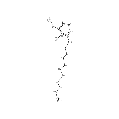 CCc1ncnc(OCCCCCCCCSC)c1Cl